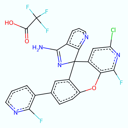 NC1=NC2(c3cc(-c4cccnc4F)ccc3Oc3c2cc(Cl)nc3F)c2ncccc21.O=C(O)C(F)(F)F